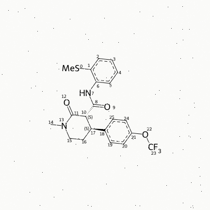 CSc1ccccc1NC(=O)[C@H]1C(=O)N(C)CC[C@@H]1c1ccc(OC(F)(F)F)cc1